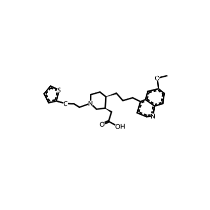 COc1ccc2nccc(CCC[C@@H]3CCN(CCCc4cccs4)C[C@@H]3CC(=O)O)c2c1